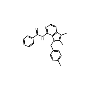 Cc1ccc(Cn2c(C)c(C)c3ccnc(NC(=O)c4ccccc4)c32)cc1